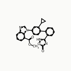 COC(=O)c1cccc2ncn(-c3ccc(-c4ccccc4-c4nc(=O)o[nH]4)c(C4CC4)c3)c12